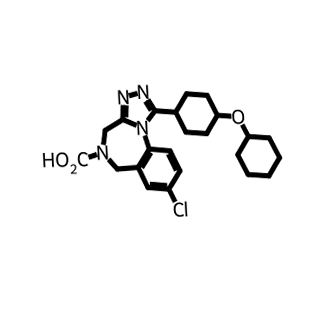 O=C(O)N1Cc2cc(Cl)ccc2-n2c(nnc2C2CCC(OC3CCCCC3)CC2)C1